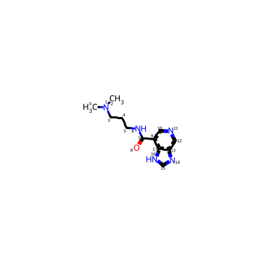 CN(C)CCCNC(=O)c1cncc2nc[nH]c12